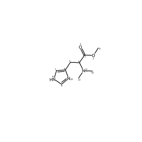 COC(=O)C(Cc1c[nH]cn1)N(C)C